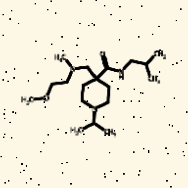 COCCN(C)CC1(C(=O)NCC(C)C)CCN(C(C)C)CC1